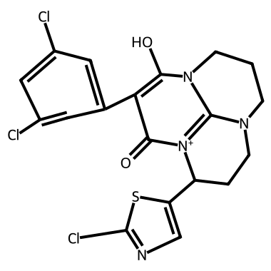 O=c1c(-c2cc(Cl)cc(Cl)c2)c(O)n2c3[n+]1C(c1cnc(Cl)s1)CCN3CCC2